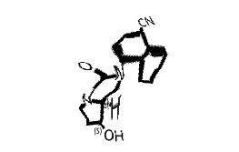 N#Cc1ccc(N2C[C@H]3[C@@H](O)CCN3C2=O)c2ccccc12